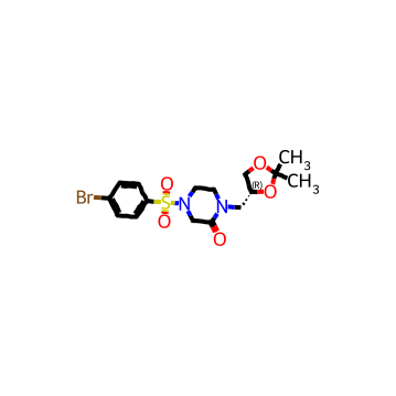 CC1(C)OC[C@@H](CN2CCN(S(=O)(=O)c3ccc(Br)cc3)CC2=O)O1